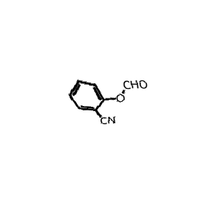 N#Cc1ccccc1OC=O